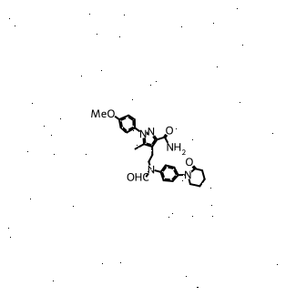 COc1ccc(-n2nc(C(N)=O)c(CCN(C=O)c3ccc(N4CCCCC4=O)cc3)c2C)cc1